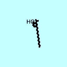 CCCCCCCCCCCCc1ccc(O)c(C(C)C)c1